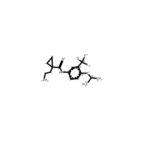 CCCC1(C(=O)Nc2ccc(SC(C)C)c(C(F)(F)F)c2)CC1